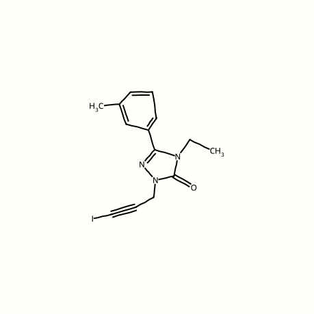 CCn1c(-c2cccc(C)c2)nn(CC#CI)c1=O